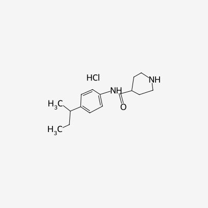 CCC(C)c1ccc(NC(=O)C2CCNCC2)cc1.Cl